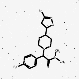 CN(C)C(=O)C(c1ccc(C(F)(F)F)cc1)N1CCC(C2CC(Br)=NO2)CC1